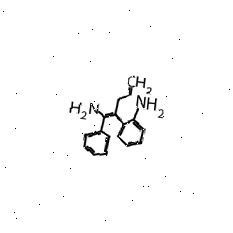 C=CCC(=C(N)c1ccccc1)c1ccccc1N